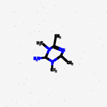 CC1=NC(C)N(C)C(N)N1C